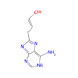 Nc1[nH]cnc2nc(CC=CO)nc1-2